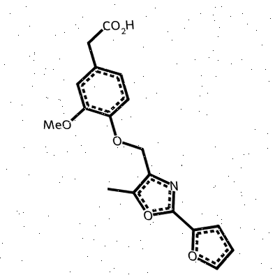 COc1cc(CC(=O)O)ccc1OCc1nc(-c2ccco2)oc1C